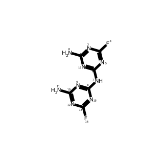 Nc1nc(F)nc(Nc2nc(N)nc(F)n2)n1